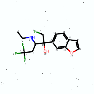 CCNC(CC(F)(F)F)C(O)(CF)c1ccc2ccoc2c1